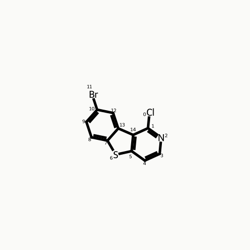 Clc1nccc2sc3ccc(Br)cc3c12